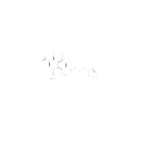 COc1c(NCCCN2C=CNC2)c(F)c(N)c2c(=O)c(C(=O)I)cn(C3CC3)c12